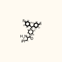 CC(C)C[C@H](N)C(=O)N1CCN(C(c2ccc(F)cc2)c2ccc(F)cc2)CC1